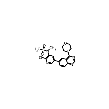 CN(c1cc(-c2ccc3ncnc(N4CCOCC4)c3c2)cnc1Cl)S(C)(=O)=O